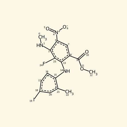 CNc1c([N+](=O)[O-])cc(C(=O)OC)c(Nc2ccc(I)cc2C)c1F